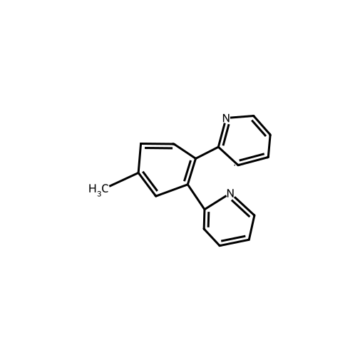 Cc1ccc(-c2[c]cccn2)c(-c2ccccn2)c1